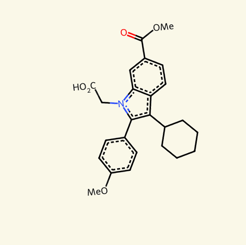 COC(=O)c1ccc2c(C3CCCCC3)c(-c3ccc(OC)cc3)n(CC(=O)O)c2c1